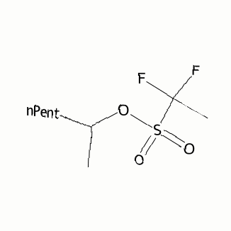 CCCCCC(C)OS(=O)(=O)C(C)(F)F